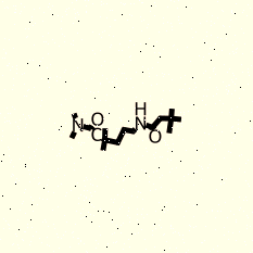 CN(C)C(=O)CC(C)(C)CCCNC(=O)CC(C)(C)C